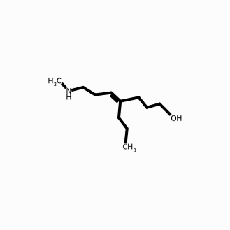 CCC/C(=C\CCNC)CCCO